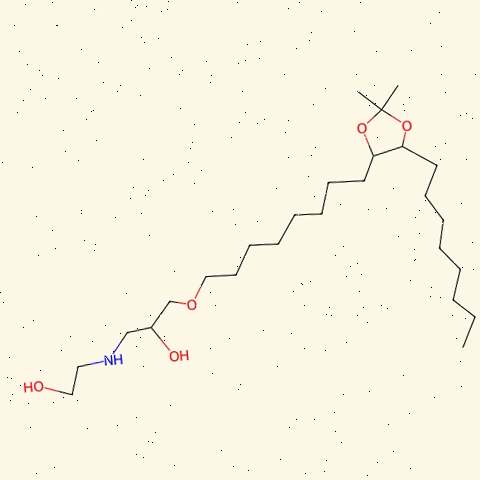 CCCCCCCCC1OC(C)(C)OC1CCCCCCCCOCC(O)CNCCO